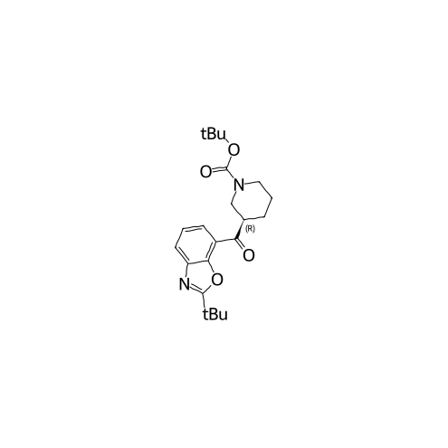 CC(C)(C)OC(=O)N1CCC[C@@H](C(=O)c2cccc3nc(C(C)(C)C)oc23)C1